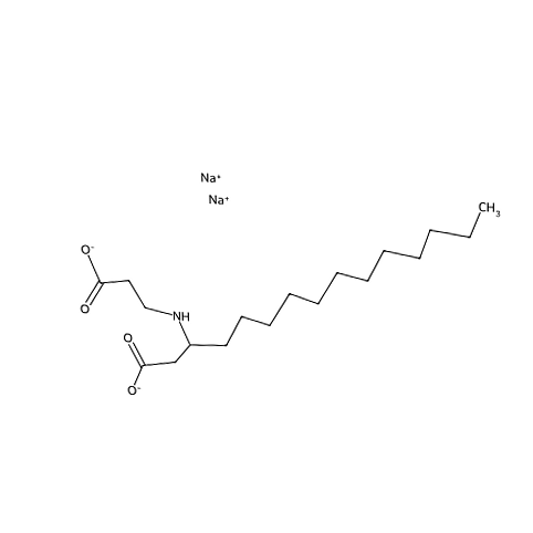 CCCCCCCCCCCCC(CC(=O)[O-])NCCC(=O)[O-].[Na+].[Na+]